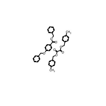 Cc1ccc(COC(=O)C(=O)OCc2ccc(C)cc2)cc1.O=C(OCc1ccccc1)c1ccc(OCc2ccccc2)cc1